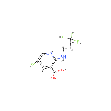 O=C(O)c1cc(F)cnc1NCCC(F)(F)F